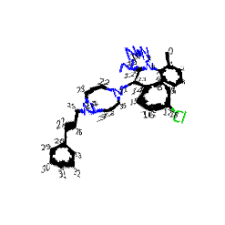 Cc1cccc(C)c1-n1nnnc1[C@@H](c1ccc(Cl)cc1)N1CCN(C/C=C/c2ccccc2)CC1